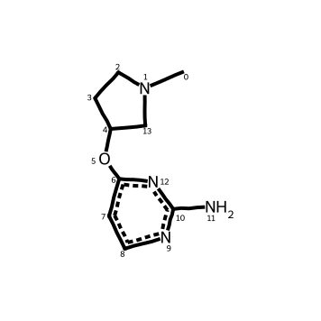 CN1CCC(Oc2ccnc(N)n2)C1